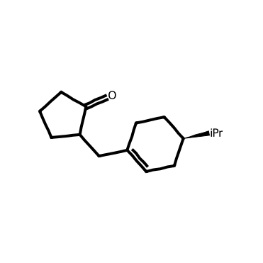 CC(C)[C@H]1CC=C(CC2CCCC2=O)CC1